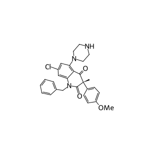 COc1ccc([C@@]2(C)C(=O)c3c(N4CCNCC4)cc(Cl)cc3N(Cc3ccccc3)C2=O)cc1